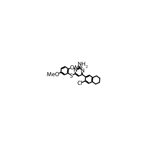 COc1ccc(OC)c(Sc2cc(-c3cc4c(cc3Cl)CCCC4)nc(N)n2)c1